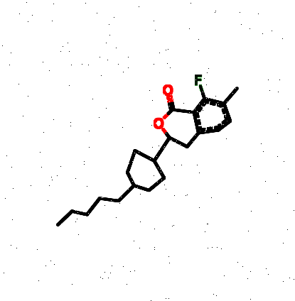 CCCCCC1CCC(C2Cc3ccc(C)c(F)c3C(=O)O2)CC1